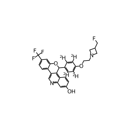 [2H]c1c([2H])c(C2Oc3cc(C(F)(F)F)ccc3-c3cnc4cc(O)ccc4c32)c([2H])c([2H])c1OCCN1CC(CF)C1